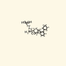 NC(CCCCB(O)O)(C(=O)O)C1CCN(Cc2ccccc2-c2ccccc2)CC1